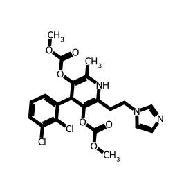 COC(=O)OC1=C(C)NC(CCn2ccnc2)=C(OC(=O)OC)C1c1cccc(Cl)c1Cl